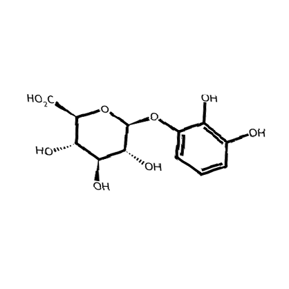 O=C(O)[C@H]1O[C@@H](Oc2cccc(O)c2O)[C@H](O)[C@@H](O)[C@@H]1O